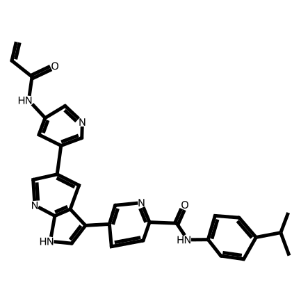 C=CC(=O)Nc1cncc(-c2cnc3[nH]cc(-c4ccc(C(=O)Nc5ccc(C(C)C)cc5)nc4)c3c2)c1